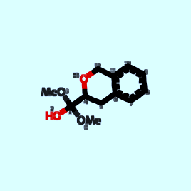 COC(O)(OC)C1Cc2ccccc2CO1